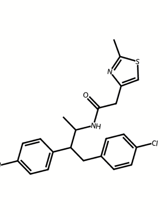 Cc1nc(CC(=O)NC(C)C(Cc2ccc(Cl)cc2)c2ccc(Cl)cc2)cs1